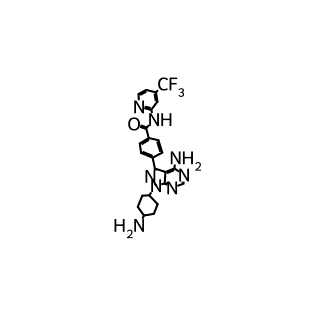 Nc1ncnc2c1c(-c1ccc(C(=O)Nc3cc(C(F)(F)F)ccn3)cc1)nn2C1CCC(N)CC1